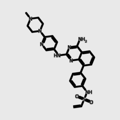 C=CS(=O)(=O)Nc1cccc(-c2cccc3c(N)nc(Nc4ccc(N5CCN(C)CC5)nc4)nc23)c1